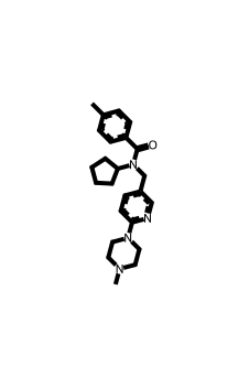 Cc1ccc(C(=O)N(Cc2ccc(N3CCN(C)CC3)nc2)C2CCCC2)cc1